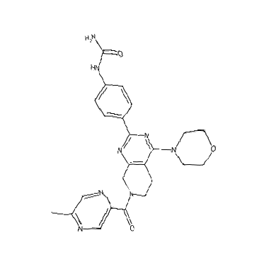 Cc1cnc(C(=O)N2CCc3c(nc(-c4ccc(NC(N)=O)cc4)nc3N3CCOCC3)C2)cn1